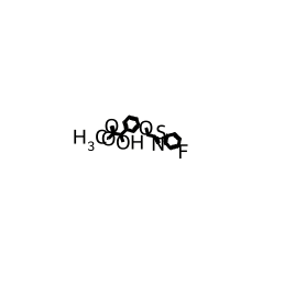 COC(=O)C(O)c1cccc(OCc2nc3cc(F)ccc3s2)c1